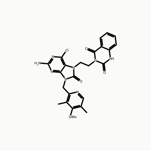 COc1c(C)cnc(Cn2c(=O)n(CCn3c(=O)[nH]c4ccccc4c3=O)c3c(Cl)nc(N)nc32)c1C